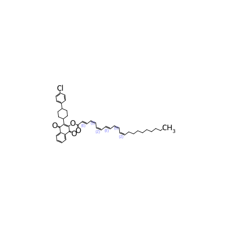 CCCCCCCCC\C=C/C=C\C=C\C=C/C=C\C=C\C(=O)OC1=C(C2CCC(c3ccc(Cl)cc3)CC2)C(=O)c2ccccc2C1=O